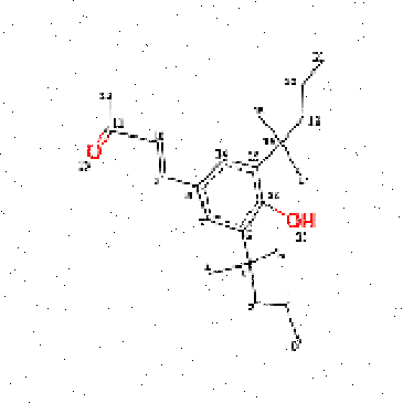 CCCC(C)(C)c1cc(/C=C/C(C)=O)cc(C(C)(C)CCC)c1O